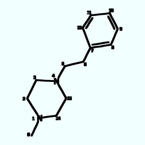 CN1CCN(CCc2ccccc2)CC1